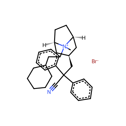 C[N+]1(CCC2CCCCC2)[C@@H]2CC[C@H]1C[C@@H](CC(C#N)(c1ccccc1)c1ccccc1)C2.[Br-]